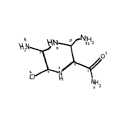 NC(=O)C1NC(Cl)C(N)NC1N